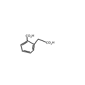 O=C(O)Cc1cc[c]cc1C(=O)O